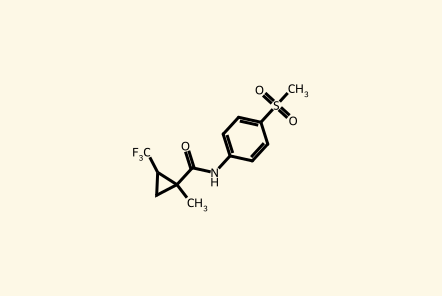 CC1(C(=O)Nc2ccc(S(C)(=O)=O)cc2)CC1C(F)(F)F